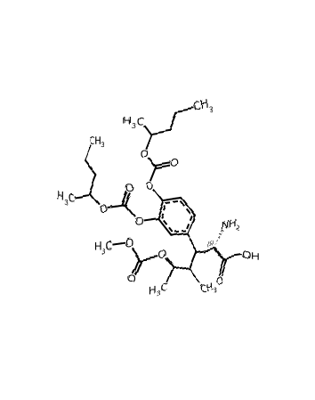 CCCC(C)OC(=O)Oc1ccc(C(C(C)C(C)OC(=O)OC)[C@H](N)C(=O)O)cc1OC(=O)OC(C)CCC